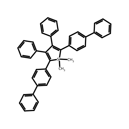 C[Si]1(C)C(c2ccc(-c3ccccc3)cc2)=C(c2ccccc2)C(c2ccccc2)=C1c1ccc(-c2ccccc2)cc1